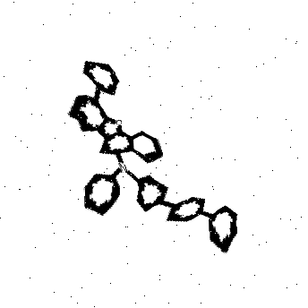 C1=Cc2c(N(c3ccccc3)c3ccc(-c4ccc(-c5ccccc5)cc4)cc3)cc3c(oc4c(-c5ccccc5)cccc43)c2CC1